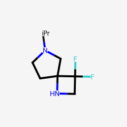 CC(C)N1CCC2(C1)NCC2(F)F